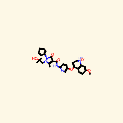 COc1ccc2c(c1)[NH+]([O-])CC=C2Oc1ccc(NC(=O)c2c(C)n(CC(C)(C)O)n(-c3ccccc3)c2=O)nc1